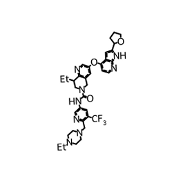 CCC1CN(C(=O)Nc2cnc(CN3CCN(CC)CC3)c(C(F)(F)F)c2)Cc2cc(Oc3ccnc4[nH]c(C5CCCO5)cc34)cnc21